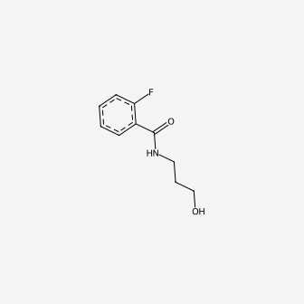 O=C(NCCCO)c1ccccc1F